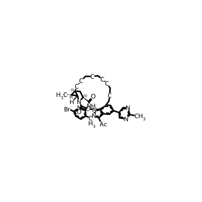 CC(=O)c1nn2c3c(cc(-c4cnc(C)nc4)cc13)CCCCCCCCCC[C@@]13C[C@@H](C(=O)Nc4nc(Br)ccc4C)N(C(=O)C2)[C@@H]1[C@@H]3C